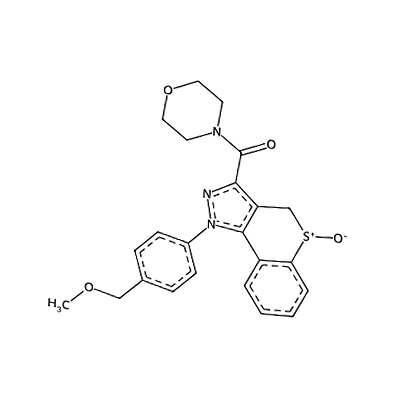 COCc1ccc(-n2nc(C(=O)N3CCOCC3)c3c2-c2ccccc2[S+]([O-])C3)cc1